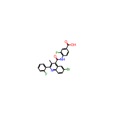 Cc1c(-c2ccccc2F)nc2ccc(Br)cc2c1C(=O)Nc1ccc(C(=O)O)cc1F